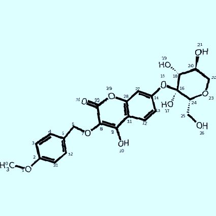 COc1ccc(COc2c(O)c3ccc(O[C@@]4(O)[C@H](O)[C@@H](O)CO[C@@H]4CO)cc3oc2=O)cc1